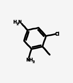 Cc1c(N)cc(N)cc1Cl